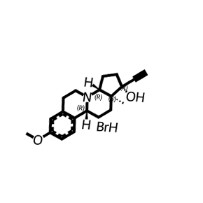 Br.C#C[C@]1(O)CC[C@H]2N3CCc4cc(OC)ccc4[C@H]3CC[C@@]21C